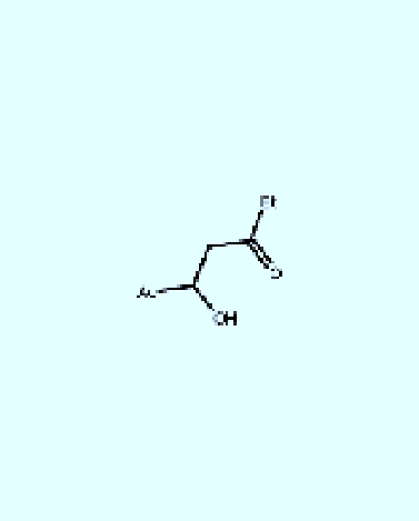 CCC(=O)CC(O)C(C)=O